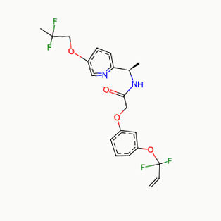 C=CC(F)(F)Oc1cccc(OCC(=O)N[C@H](C)c2ccc(OCC(C)(F)F)cn2)c1